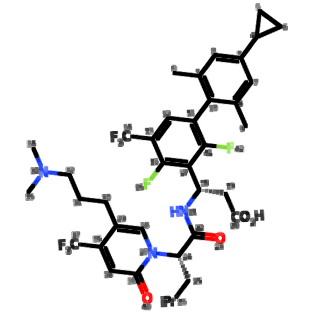 Cc1cc(C2CC2)cc(C)c1-c1cc(C(F)(F)F)c(F)c([C@H](CC(=O)O)NC(=O)[C@H](CC(C)C)n2cc(CCCN(C)C)c(C(F)(F)F)cc2=O)c1F